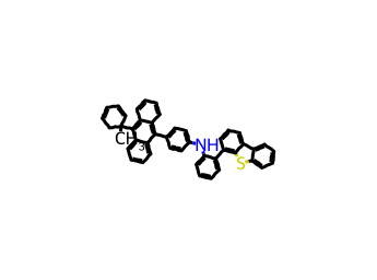 CC1(c2c3ccccc3c(-c3ccc(Nc4ccccc4-c4cccc5c4sc4ccccc45)cc3)c3ccccc23)C=CC=CC1